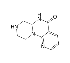 O=C1NC2CNCCN2c2ncccc21